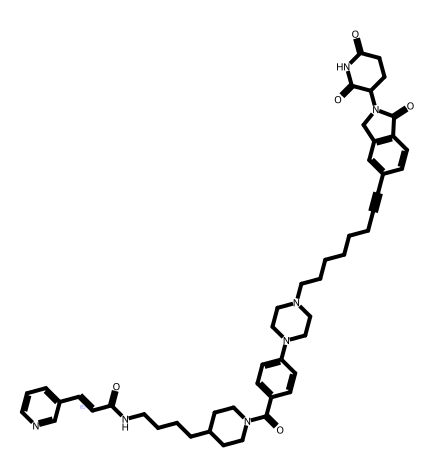 O=C(/C=C/c1cccnc1)NCCCCC1CCN(C(=O)c2ccc(N3CCN(CCCCCCC#Cc4ccc5c(c4)CN(C4CCC(=O)NC4=O)C5=O)CC3)cc2)CC1